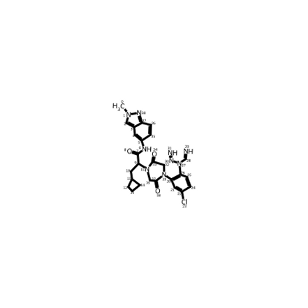 Cn1cc2cc(NC(=O)C(CC3CCC3)N3CC(=O)N(c4cc(Cl)ccc4N(C=N)N=N)CC3=O)ccc2n1